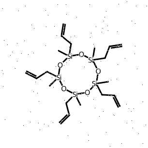 C=CC[Si]1(C)O[Si](C)(CC=C)O[Si](C)(CC=C)O[Si](C)(CC=C)O[Si](C)(CC=C)O1